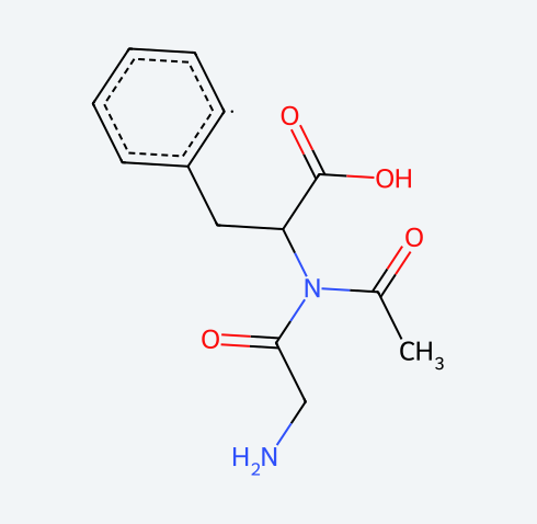 CC(=O)N(C(=O)CN)C(Cc1[c]cccc1)C(=O)O